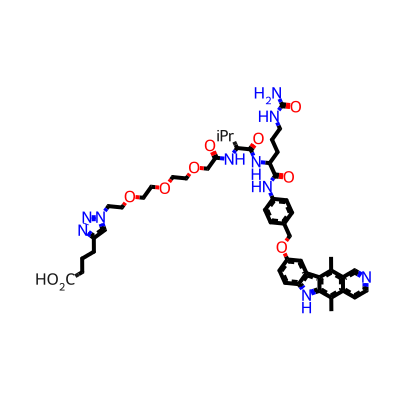 Cc1c2ccncc2c(C)c2c1[nH]c1ccc(OCc3ccc(NC(=O)C(CCCNC(N)=O)NC(=O)C(NC(=O)COCCOCCOCCn4cc(CCCC(=O)O)nn4)C(C)C)cc3)cc12